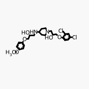 COc1ccc(OC[C@@H](O)CNC2CCN(C[C@@H](O)COc3ccc(Cl)cc3Cl)CC2)cc1